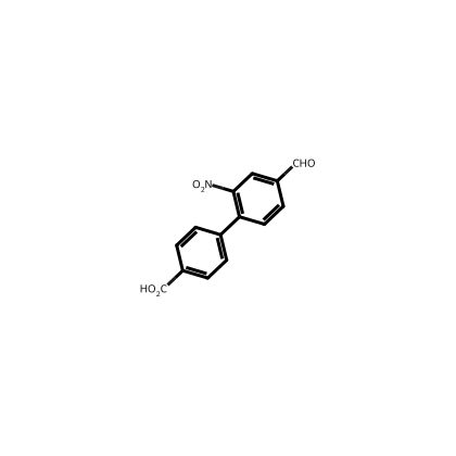 O=Cc1ccc(-c2ccc(C(=O)O)cc2)c([N+](=O)[O-])c1